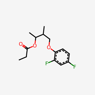 CCC(=O)OC(C)C(C)COc1ccc(F)cc1F